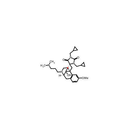 COc1ccc2c(c1)[C@]13CCN(CCCN(C)C)[C@H](C2)[C@]1(O)CC[C@]1(C3)C(=O)N(CC2CC2)C(=O)N1CC1CC1